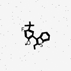 CCc1sc2ccccc2c1-c1cc(C(C)(C)C)c(F)cc1OC